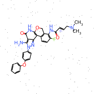 CN(C)C/C=C/C(=O)Nc1c(F)ccc2c1COc1[nH]c(=O)c3c(N)n(-c4ccc(Oc5ccccc5)cc4)nc3c1-2